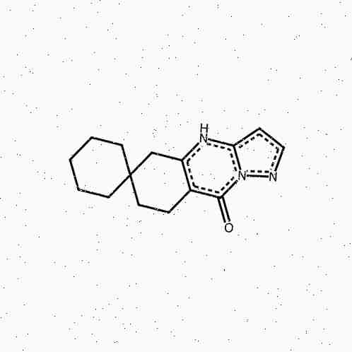 O=c1c2c([nH]c3ccnn13)CC1(CCCCC1)CC2